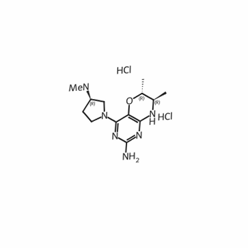 CN[C@@H]1CCN(c2nc(N)nc3c2O[C@H](C)[C@@H](C)N3)C1.Cl.Cl